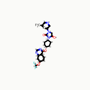 O=C1CN(c2cncc(C(F)(F)F)c2)C(=O)N1[C@H]1CC[C@@H](Oc2ncnc3cc(OC(F)F)ccc23)CC1